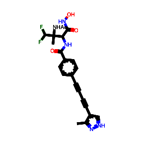 CC(=O)NC(C)(C(F)F)C(NC(=O)c1ccc(C#CC#Cc2c[nH]nc2C)cc1)C(=O)NO